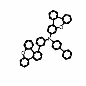 c1ccc(-c2ccc(N(c3cccc(-c4cccc5c4-c4ccccc4Oc4ccccc4-5)c3)c3ccc4c(c3)Oc3ccccc3-c3ccccc3-4)cc2)cc1